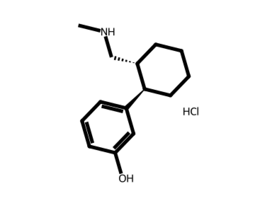 CNC[C@@H]1CCCC[C@H]1c1cccc(O)c1.Cl